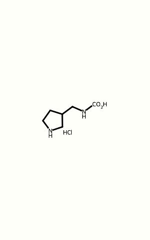 Cl.O=C(O)NCC1CCNC1